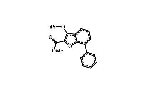 CCCOc1c(C(=O)OC)oc2c(-c3ccccc3)cccc12